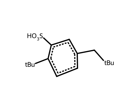 CC(C)(C)Cc1ccc(C(C)(C)C)c(S(=O)(=O)O)c1